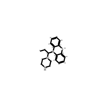 CCC(N1CCNCC1)N1c2ccccc2Sc2ccccc21